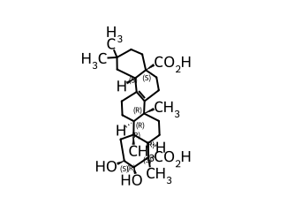 CC1(C)CC[C@]2(C(=O)O)CCC3=C(CC[C@@H]4[C@@]5(C)C[C@H](O)[C@H](O)[C@@](C)(C(=O)O)[C@@H]5CC[C@@]34C)[C@@H]2C1